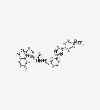 Cc1ccc(C(C)C)c(N2C(=O)CS/C2=N\C(=S)N/N=C/c2cccc(-c3ncn(-c4ccc(OC(F)(F)F)cc4)n3)c2)c1